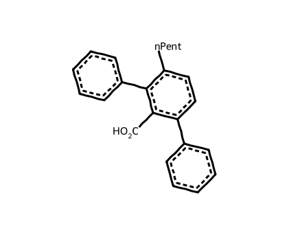 CCCCCc1ccc(-c2ccccc2)c(C(=O)O)c1-c1ccccc1